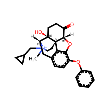 C[N+]1(CC2CC2)CC[C@]23c4c5ccc(Oc6ccccc6)c4O[C@H]2C(=O)CC[C@@]3(O)[C@H]1C5